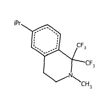 CC(C)c1ccc2c(c1)CCN(C)C2(C(F)(F)F)C(F)(F)F